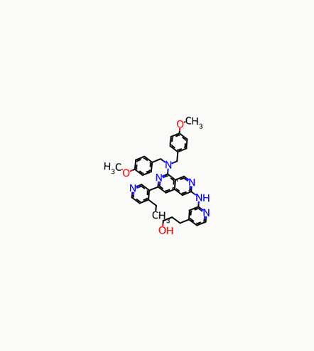 CCc1ccncc1-c1cc2cc(Nc3cc(CCCO)ccn3)ncc2c(N(Cc2ccc(OC)cc2)Cc2ccc(OC)cc2)n1